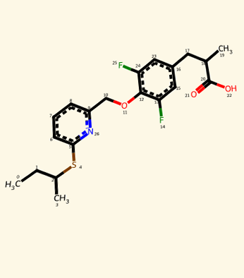 CCC(C)Sc1cccc(COc2c(F)cc(CC(C)C(=O)O)cc2F)n1